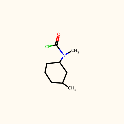 CC1CCCC(N(C)C(=O)Cl)C1